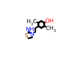 Cc1cc(CCN2CCSC2=N)c(C)cc1O